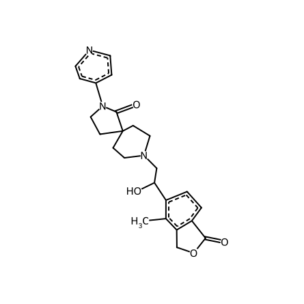 Cc1c(C(O)CN2CCC3(CC2)CCN(c2ccncc2)C3=O)ccc2c1COC2=O